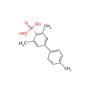 Cc1ccc(-c2cc(C)c(P(=O)(O)O)c(C)c2)cc1